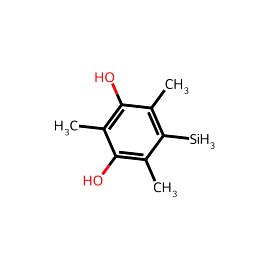 Cc1c(O)c(C)c([SiH3])c(C)c1O